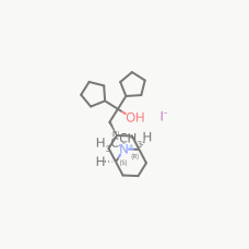 C[N+]1(C)[C@@H]2CCC[C@H]1C[C@@H](CC(O)(C1CCCC1)C1CCCC1)C2.[I-]